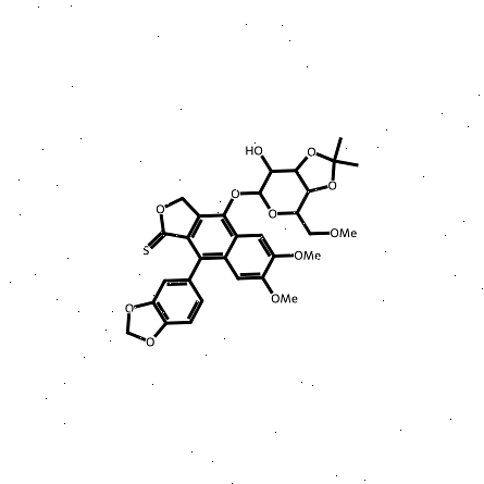 COCC1OC(Oc2c3c(c(-c4ccc5c(c4)OCO5)c4cc(OC)c(OC)cc24)C(=S)OC3)C(O)C2OC(C)(C)OC12